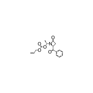 C=CCOC(=O)O[C@@H](C)N1C(=O)CC1C(=O)c1ccccc1